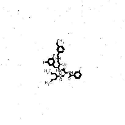 CCCC(CCC)S(=O)(=O)C[C@@H](NC(=O)c1cccc(F)c1)C(=O)N[C@@H](Cc1cc(F)cc(F)c1)[C@H](O)CNCc1cccc(CC)c1